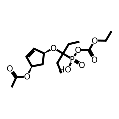 CCOC(=O)OP(=O)(O)C(CC)(CC)O[C@@H]1C=C[C@H](OC(C)=O)C1